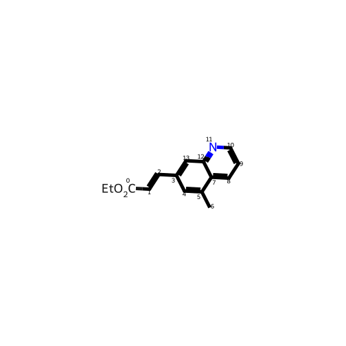 CCOC(=O)/C=C/c1cc(C)c2cccnc2c1